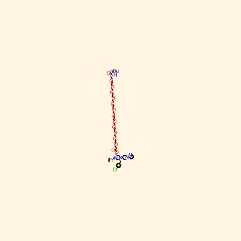 CCCCC(=O)NCCOCCOCCOCCOCCOCCOCCOCCOCCOCCOCCOCCOCCC(=O)OC[C@H]1CN(C2CCN(c3ccccn3)CC2)[C@@H](Cc2ccc(Cl)cc2)CN1CC(C)C